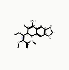 C=C(OC)/C(OC)=C(/OC)C1Cc2cc3c(cc2C(S)=C1C)OCO3